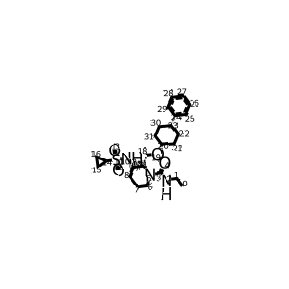 CCNC(=O)N1CCC[C@H](NS(=O)(=O)C2CC2)[C@@H]1CO[C@H]1CC[C@@H](c2ccccc2)CC1